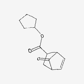 O=C1C2C=CC1C(C(=O)OC1CCCC1)C2